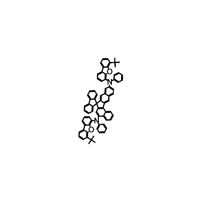 CC(C)(C)c1cccc2c1oc1c(N(c3ccccc3)c3ccc4cc5c(cc4c3)C3(c4ccccc4-c4ccccc43)c3cc(N(c4ccccc4)c4cccc6c4oc4c(C(C)(C)C)cccc46)c4ccccc4c3-5)cccc12